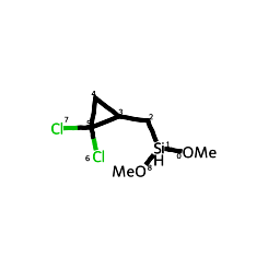 CO[SiH](CC1CC1(Cl)Cl)OC